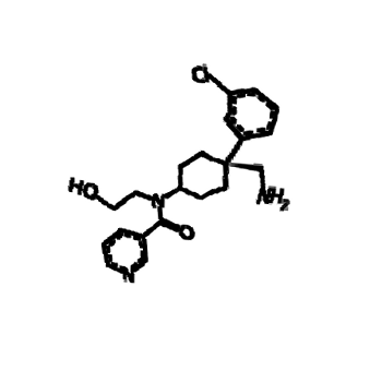 NC[C@]1(c2cccc(Cl)c2)CC[C@H](N(CCO)C(=O)c2cccnc2)CC1